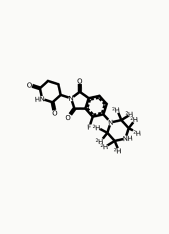 [2H]C1([2H])NC([2H])([2H])C([2H])([2H])N(c2ccc3c(c2F)C(=O)N(C2CCC(=O)NC2=O)C3=O)C1([2H])[2H]